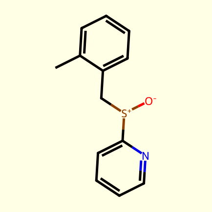 Cc1ccccc1C[S+]([O-])c1ccccn1